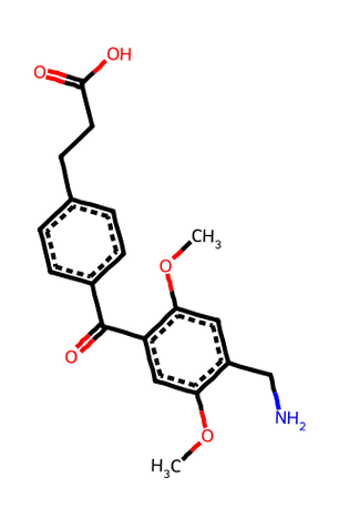 COc1cc(C(=O)c2ccc(CCC(=O)O)cc2)c(OC)cc1CN